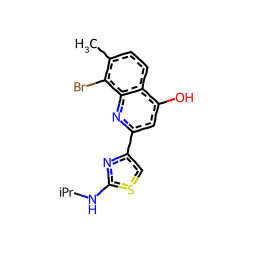 Cc1ccc2c(O)cc(-c3csc(NC(C)C)n3)nc2c1Br